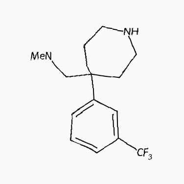 CNCC1(c2cccc(C(F)(F)F)c2)CCNCC1